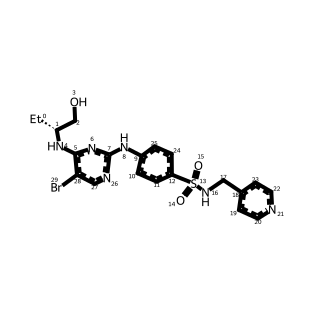 CC[C@H](CO)Nc1nc(Nc2ccc(S(=O)(=O)NCc3ccncc3)cc2)ncc1Br